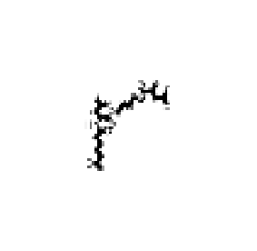 CC(=O)CCCCC(=O)NC(CC(C)C)C(=O)OCCCCOC(=O)C(C)CC(C)C